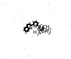 CC1(C)OB(c2cccc(-c3ccc4ccccc4n3)n2)OC1(C)C